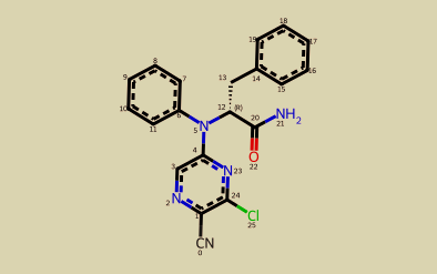 N#Cc1ncc(N(c2ccccc2)[C@H](Cc2ccccc2)C(N)=O)nc1Cl